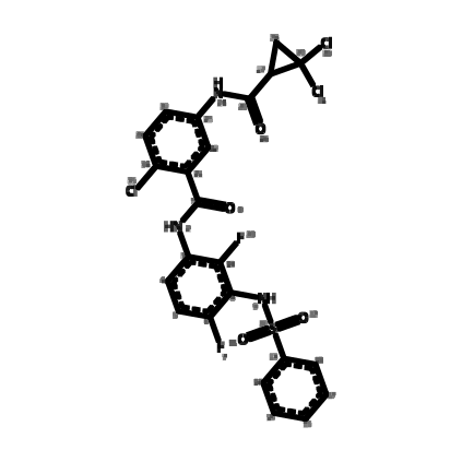 O=C(Nc1ccc(F)c(NS(=O)(=O)c2ccccc2)c1F)c1cc(NC(=O)C2CC2(Cl)Cl)ccc1Cl